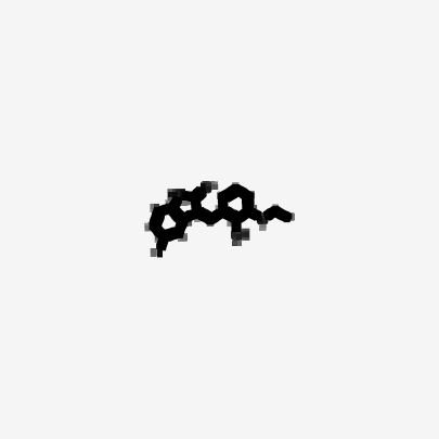 CCOc1cccc(C=C2C(=O)Nc3ccc(I)cc32)c1O